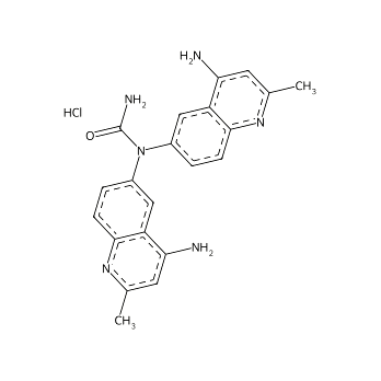 Cc1cc(N)c2cc(N(C(N)=O)c3ccc4nc(C)cc(N)c4c3)ccc2n1.Cl